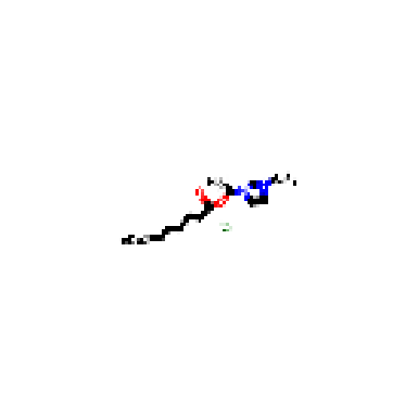 CCCCCCCCCCCCCCCC(=O)OC(C)[n+]1ccn(C)c1.[Cl-]